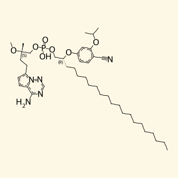 CCCCCCCCCCCCCCCCCCC[C@H](COP(=O)(O)OC[C@](C)(CCc1ccc2c(N)ncnn12)OC)Oc1ccc(C#N)c(OC(C)C)c1